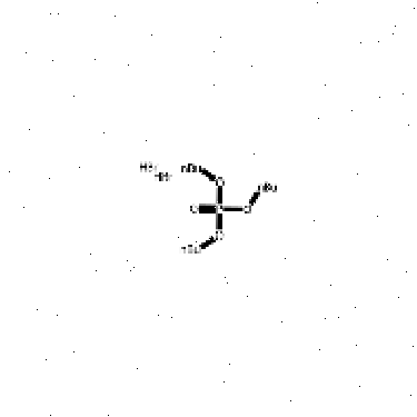 Br.Br.CCCCOP(=O)(OCCCC)OCCCC